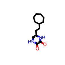 O=c1[nH]cc(CCC2CCCCCC2)[nH]c1=O